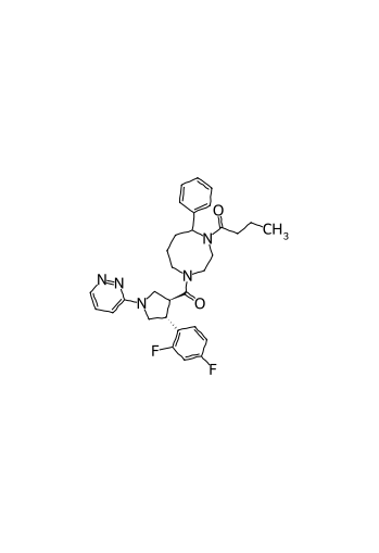 CCCC(=O)N1CCN(C(=O)[C@@H]2CN(c3cccnn3)C[C@H]2c2ccc(F)cc2F)CCCC1c1ccccc1